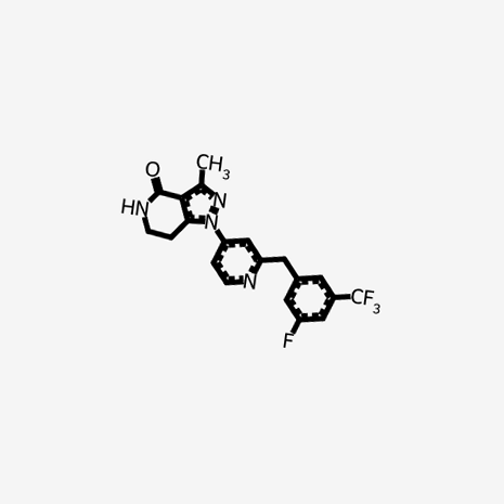 Cc1nn(-c2ccnc(Cc3cc(F)cc(C(F)(F)F)c3)c2)c2c1C(=O)NCC2